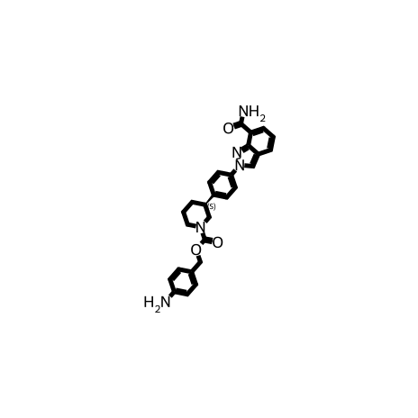 NC(=O)c1cccc2cn(-c3ccc([C@@H]4CCCN(C(=O)OCc5ccc(N)cc5)C4)cc3)nc12